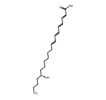 CCCC[C@H](O)CCCCCCC=CC=CC=CC=CC(=O)O